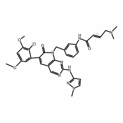 COc1cc(OC)c(Cl)c(-c2cc3cnc(Nc4ccn(C)n4)nc3n(Cc3cccc(NC(=O)/C=C/CN(C)C)c3)c2=O)c1